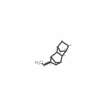 CC=C1CC2CC1C1C3CCC(C3)C21